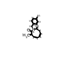 C=C1/C=C\C=C/CC(=O)N(Cc2ccc(I)cc2)C1=O